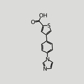 O=C(O)c1cc(-c2ccc(-n3ccnc3)cc2)cs1